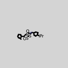 Cc1ccccc1C(=O)CN1C(=O)/C(=C/c2ccc(C(C)C)cc2)SC1=S